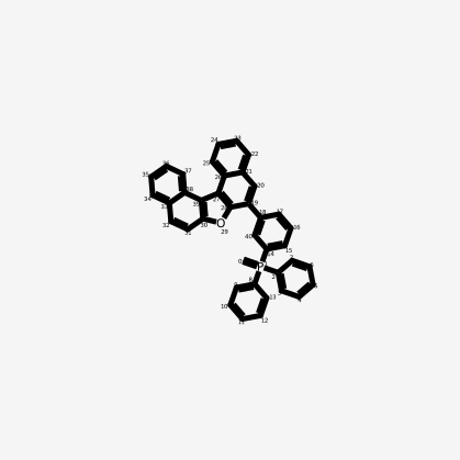 C=P(c1ccccc1)(c1ccccc1)c1cccc(-c2cc3ccccc3c3c2oc2ccc4ccccc4c23)c1